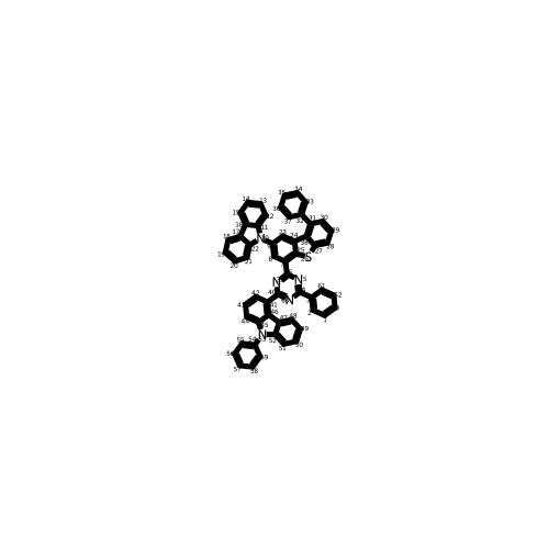 c1ccc(-c2nc(-c3cc(-n4c5ccccc5c5ccccc54)cc4c3sc3cccc(-c5ccccc5)c34)nc(-c3cccc4c3c3ccccc3n4-c3ccccc3)n2)cc1